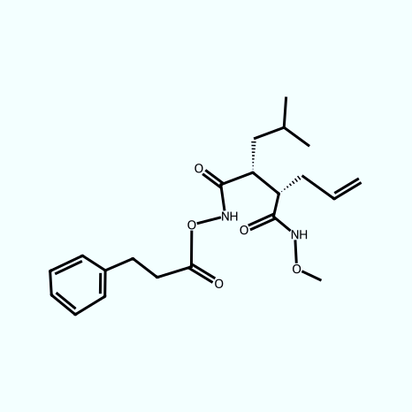 C=CC[C@H](C(=O)NOC)[C@@H](CC(C)C)C(=O)NOC(=O)CCc1ccccc1